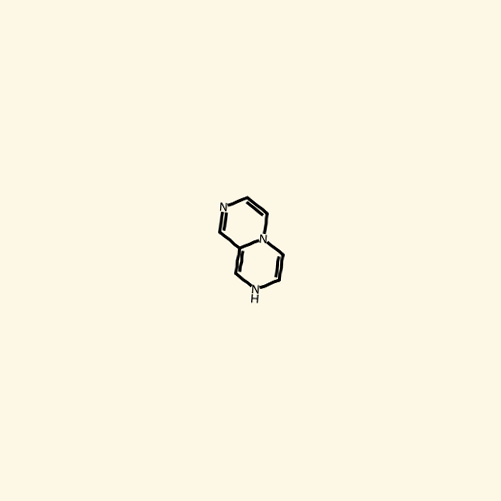 C1=CN2C=CNC=C2C=N1